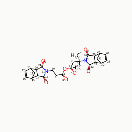 CC(C)(CC(=O)OC(=O)CCN1C(=O)C2C3C=CC(C3)C2C1=O)N1C(=O)C2C3C=CC(C3)C2C1=O